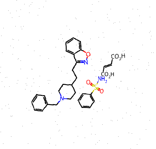 NS(=O)(=O)c1ccccc1.O=C(O)/C=C/C(=O)O.c1ccc(CN2CCC(CCc3noc4ccccc34)CC2)cc1